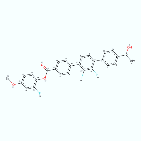 CCCC(O)c1ccc(-c2ccc(-c3ccc(C(=O)Oc4ccc(OCC)cc4F)cc3)c(F)c2F)cc1